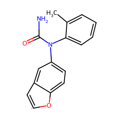 Cc1ccccc1N(C(N)=O)c1ccc2o[c]cc2c1